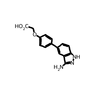 Nc1n[nH]c2ccc(-c3ccc(OCC(=O)O)cc3)cc12